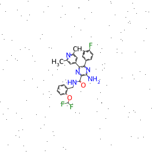 Cc1cc(-c2nc(C(=O)NCc3ccccc3OC(F)F)c(N)nc2-c2ccc(F)cc2)cc(C)n1